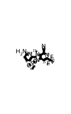 CCS(=O)(=O)c1ccc(N)nc1-c1nc2cc(C(F)(F)F)nc(C#N)c2n1C